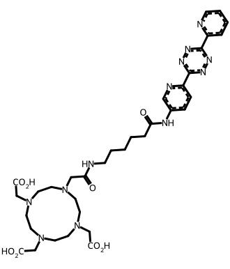 O=C(O)CN1CCN(CC(=O)O)CCN(CC(=O)NCCCCCC(=O)Nc2ccc(-c3nnc(-c4ccccn4)nn3)nc2)CCN(CC(=O)O)CC1